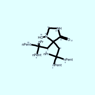 CCCCCC(CCC)(CCCCC)CC1(CC(CCC)(CCCCC)CCCCC)C(=O)NCN1O